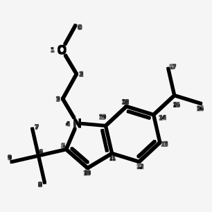 COCCn1c(C(C)(C)C)cc2ccc(C(C)C)cc21